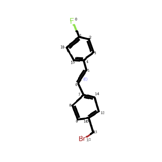 Fc1ccc(/C=C/c2ccc(CBr)cc2)cc1